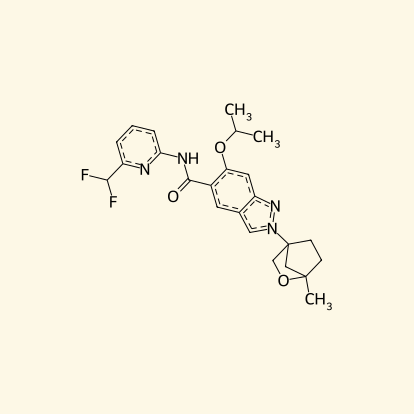 CC(C)Oc1cc2nn(C34CCC(C)(C3)OC4)cc2cc1C(=O)Nc1cccc(C(F)F)n1